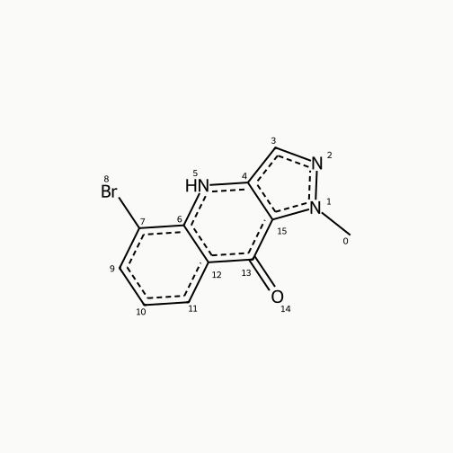 Cn1ncc2[nH]c3c(Br)cccc3c(=O)c21